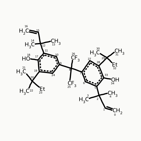 C=CC(C)(C)c1cc(C(c2cc(C(C)(C)C=C)c(O)c(C(C)(C)CC)c2)(C(F)(F)F)C(F)(F)F)cc(C(C)(C)CC)c1O